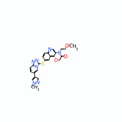 COCCN1C(=O)COc2c1cnc1ccc(Sc3nnc4ccc(-c5cnn(C)c5)cn34)cc21